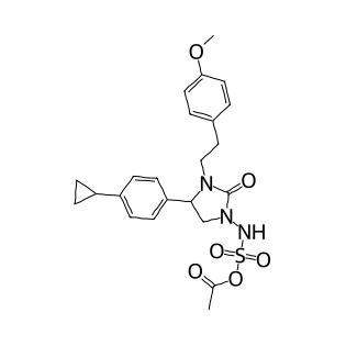 COc1ccc(CCN2C(=O)N(NS(=O)(=O)OC(C)=O)CC2c2ccc(C3CC3)cc2)cc1